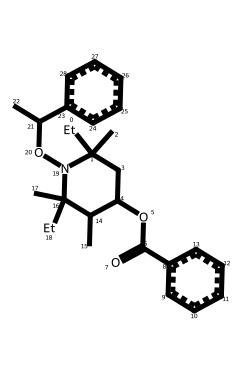 CCC1(C)CC(OC(=O)c2ccccc2)C(C)C(C)(CC)N1OC(C)c1ccccc1